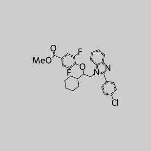 COC(=O)c1cc(F)c(OC(Cn2c(-c3ccc(Cl)cc3)nc3ccccc32)C2CCCCC2)c(F)c1